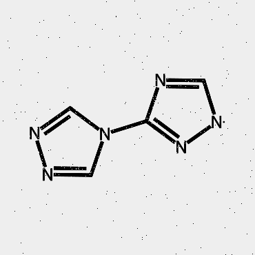 C1=NC(n2cnnc2)=N[N]1